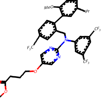 COc1ccc(C(C)C)cc1-c1ccc(C(F)(F)F)cc1CN(c1cc(C(F)(F)F)cc(C(F)(F)F)c1)c1ncc(OCCCC(=O)OC(C)(C)C)cn1